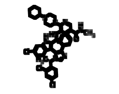 CNC(=O)c1cnc(N2CCN(C3CCCCC3)CC2)c(NC(=O)c2[nH]c3cc(Cl)ccc3c2-c2c(-c3ccccc3)ncn2[C@@H](C)c2ccc(Cl)cc2Cl)c1